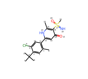 Cc1cc(C(C)(C)C)c(Cl)cc1-c1cc(=O)c(S(C)(=N)=O)c(C)[nH]1